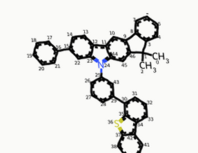 CC1(C)c2ccccc2-c2cc3c4ccc(-c5ccccc5)cc4n(-c4cccc(-c5cccc6c5sc5ccccc56)c4)c3cc21